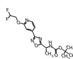 C[C@H](NC(=O)OC(C)(C)C)c1nc(-c2ccnc(OCC(F)F)c2)no1